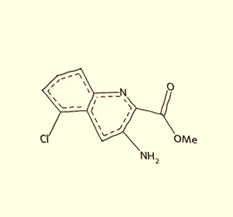 COC(=O)c1nc2cccc(Cl)c2cc1N